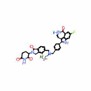 CN(Cc1ccc(-c2[nH]c3cc(F)cc4c3c2CCNC4=O)cc1)Cc1ccc2c(c1F)CN(C1CCC(=O)NC1=O)C2=O